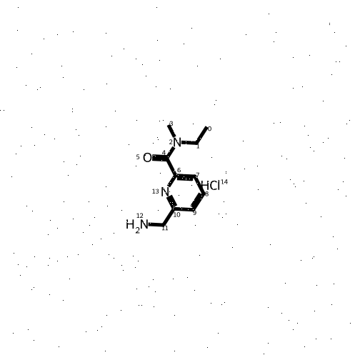 CCN(C)C(=O)c1cccc(CN)n1.Cl